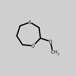 COC1CSCCCO1